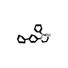 c1ccc(-c2ccc(P3CCCPP3c3ccccc3)cc2)cc1